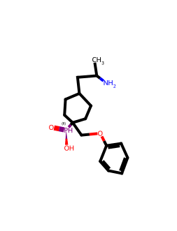 CC(N)CC1CCC(COc2ccccc2)([P@H](=O)O)CC1